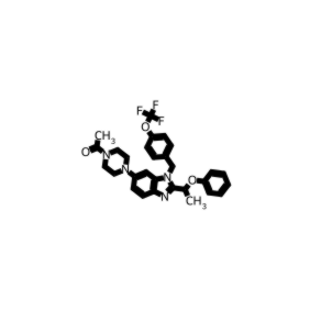 CC(=O)N1CCN(c2ccc3nc(C(C)Oc4ccccc4)n(Cc4ccc(OC(F)(F)F)cc4)c3c2)CC1